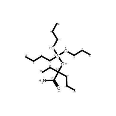 CCCC[Si](OCCC)(OCCC)OC(CC)(CCC)C(N)=O